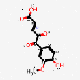 COc1cc(C(=O)C(=O)/C=C/C(=O)O)ccc1O